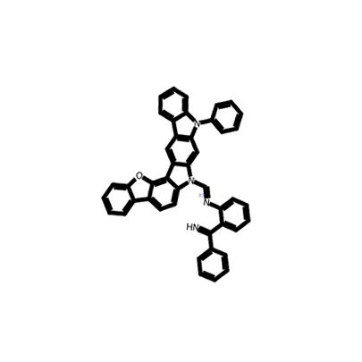 N=C(c1ccccc1)c1ccccc1/N=C/n1c2cc3c(cc2c2c4oc5ccccc5c4ccc21)c1ccccc1n3-c1ccccc1